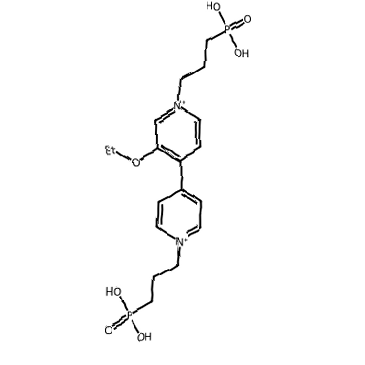 CCOc1c[n+](CCCP(=O)(O)O)ccc1-c1cc[n+](CCCP(=O)(O)O)cc1